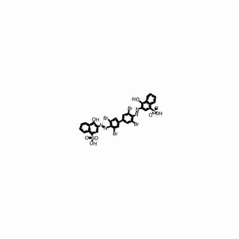 O=S(=O)(O)c1cc(/N=N/c2c(Br)cc(-c3cc(Br)c(/N=N/c4cc(S(=O)(=O)O)c5ccccc5c4O)c(Br)c3)cc2Br)c(O)c2ccccc12